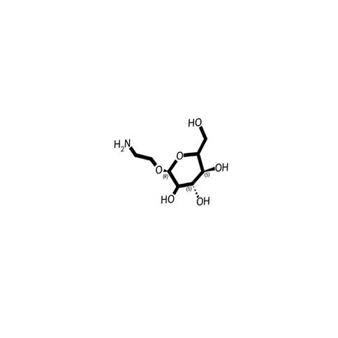 NCCO[C@@H]1OC(CO)[C@@H](O)[C@H](O)C1O